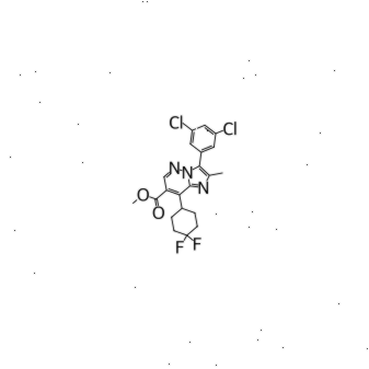 COC(=O)c1cnn2c(-c3cc(Cl)cc(Cl)c3)c(C)nc2c1C1CCC(F)(F)CC1